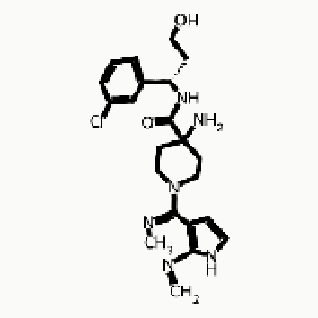 C=Nc1[nH]ccc1/C(=N\C)N1CCC(N)(C(=O)N[C@@H](CCO)c2cccc(Cl)c2)CC1